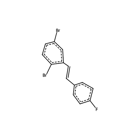 Fc1ccc(C=Cc2cc(Br)ccc2Br)cc1